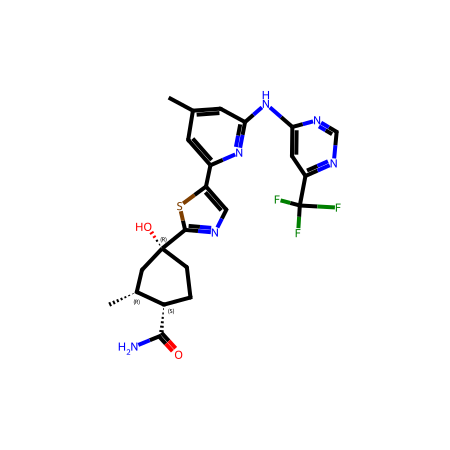 Cc1cc(Nc2cc(C(F)(F)F)ncn2)nc(-c2cnc([C@@]3(O)CC[C@H](C(N)=O)[C@H](C)C3)s2)c1